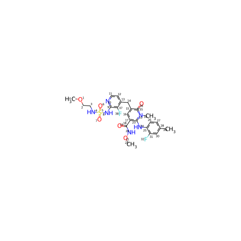 COCCNS(=O)(=O)Nc1nccc(Cc2cc(C(=O)NOC)c(Nc3ccc(C)cc3F)n(C)c2=O)c1F